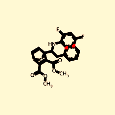 COC(=O)C1=C(C(=O)OC)C2(C(Cc3ccccc3)Nc3ccc(F)cc3F)C=CC1O2